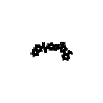 COc1ncccc1-c1ccc(O)c(-c2nc3cc(C(=O)Nc4ccc5nccnc5c4)ccc3[nH]2)c1